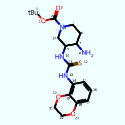 CC(C)(C)OC(=O)N1CCC(N)C(NC(=S)Nc2cccc3c2OCCO3)C1